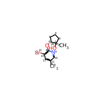 C[C@@]1(O)CCC[C@H]1Oc1ncc(C(F)(F)F)cc1Br